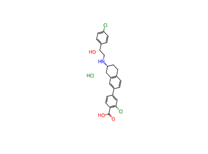 Cl.O=C(O)c1ccc(-c2ccc3c(c2)C[C@@H](NC[C@H](O)c2ccc(Cl)cc2)CC3)cc1Cl